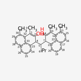 CC1=C(O)C(C(C(C)C)C2C(O)=C(C)c3c(C)ccc4cccc2c34)c2cccc3ccc(C)c1c23